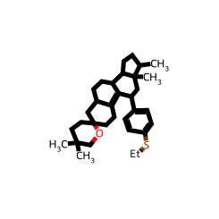 CCSc1ccc(C2CC3(C)C(C)CCC3C3CCC4CC5(CCC4=C23)CCC(C)(C)CO5)cc1